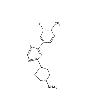 CC(=O)NC1CCN(c2cc(-c3ccc(C(F)(F)F)c(F)c3)ncn2)CC1